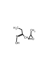 CC1CO1.CCC(C)=NO